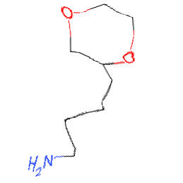 NCCCC1COCCO1